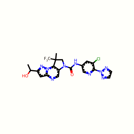 CC(O)c1cc2ncc3c(n2n1)C(C)(C(F)(F)F)CN3C(=O)Nc1cnc(-n2nccn2)c(Cl)c1